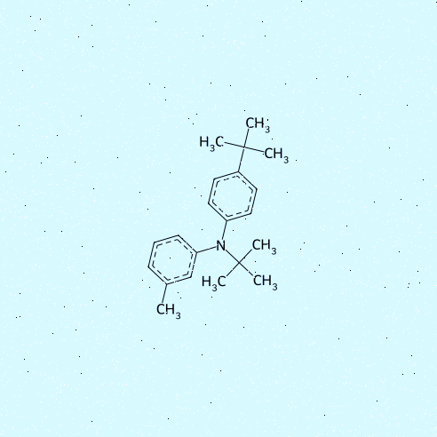 Cc1cccc(N(c2ccc(C(C)(C)C)cc2)C(C)(C)C)c1